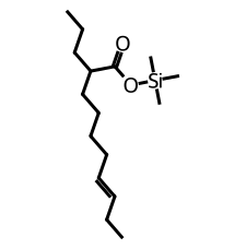 CCC=CCCCCC(CCC)C(=O)O[Si](C)(C)C